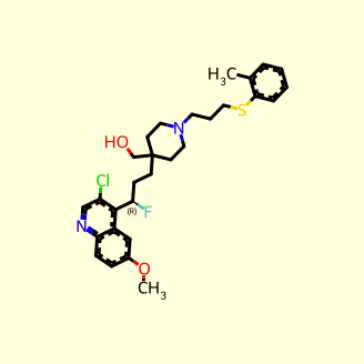 COc1ccc2ncc(Cl)c([C@H](F)CCC3(CO)CCN(CCCSc4ccccc4C)CC3)c2c1